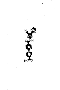 N#Cc1sc(NC(=O)c2ccc(N3CCC(C(=O)O)CC3)nc2)nc1-c1nccs1